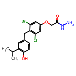 CC(C)c1cc(Cc2c(Cl)cc(OCC(=O)NN)cc2Br)ccc1O